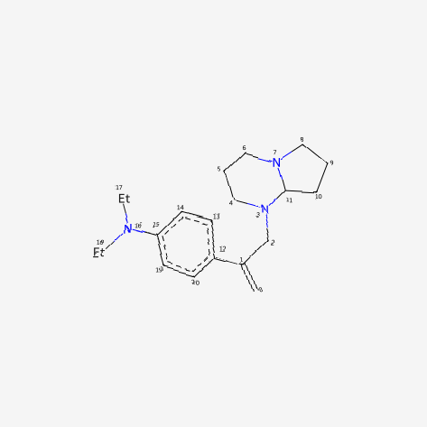 C=C(CN1CCCN2CCCC21)c1ccc(N(CC)CC)cc1